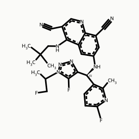 Cc1nc(F)ccc1[C@H](Nc1cc(C#N)c2ncc(C#N)c(NCC(C)(C)C)c2c1)c1nnn(C(C)CF)c1F